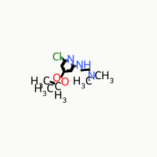 CN(C)CCNc1cc(C(=O)OC(C)(C)C)cc(Cl)n1